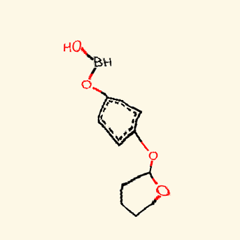 OBOc1ccc(OC2CCCCO2)cc1